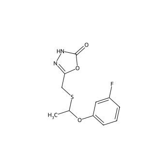 CC(Oc1cccc(F)c1)SCc1n[nH]c(=O)o1